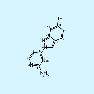 Nc1nccc(-n2cc3ccc(I)cc3n2)n1